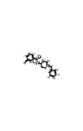 O=C(NC1CCN(Cc2ccccc2)CC1)c1cccc(I)c1